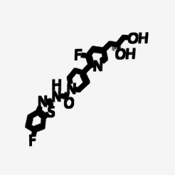 O=C(Nc1nc2ccc(F)cc2s1)N1CC=C(c2ncc(C[C@@H](O)CO)cc2F)CC1